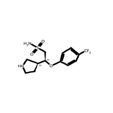 NS(=O)(=O)C[C@@H](Oc1ccc(C(F)(F)F)cc1)[C@H]1CCNC1